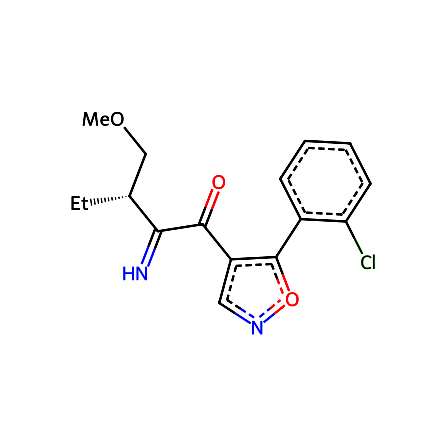 CC[C@H](COC)C(=N)C(=O)c1cnoc1-c1ccccc1Cl